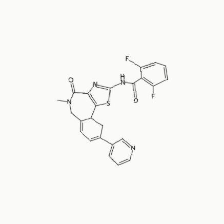 CN1CC2=CC=C(c3cccnc3)CC2c2sc(NC(=O)c3c(F)cccc3F)nc2C1=O